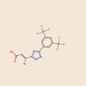 O=C(O)C=C(Br)n1cnc(-c2cc(C(F)(F)F)cc(C(F)(F)F)c2)n1